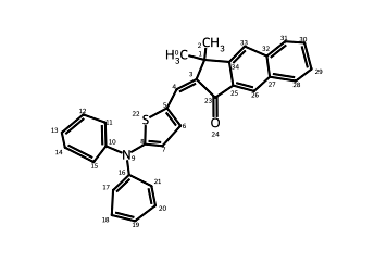 CC1(C)/C(=C/c2ccc(N(c3ccccc3)c3ccccc3)s2)C(=O)c2cc3ccccc3cc21